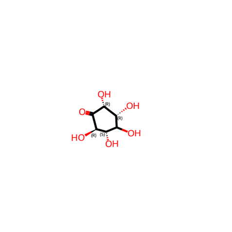 O=C1[C@H](O)[C@H](O)C(O)[C@H](O)[C@H]1O